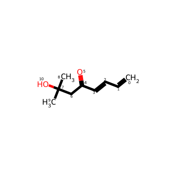 C=CC=CC(=O)CC(C)(C)O